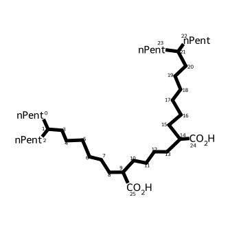 CCCCCC(CCCCC)CCCCCCC(CCCCC(CCCCCCC(CCCCC)CCCCC)C(=O)O)C(=O)O